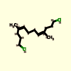 CC(=CCCC=C(C)CCCCl)CCCCl